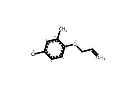 C=CCOc1ccc(Cl)cc1C